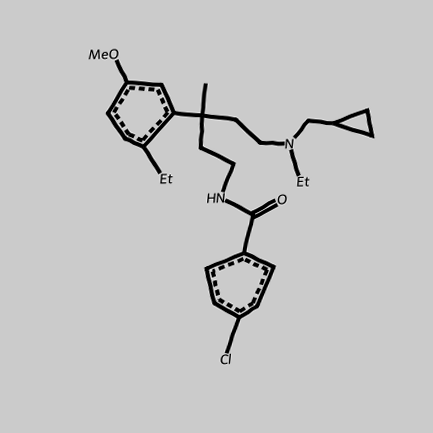 CCc1ccc(OC)cc1C(C)(CCNC(=O)c1ccc(Cl)cc1)CCN(CC)CC1CC1